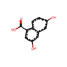 O=C(O)c1cc(O)cc2cc(O)ccc12